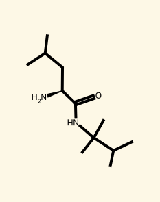 CC(C)C[C@H](N)C(=O)NC(C)(C)C(C)C